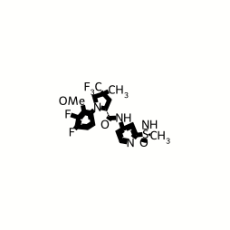 COc1c(N2C[C@@](C)(C(F)(F)F)C[C@@H]2C(=O)Nc2ccnc([S@](C)(=N)=O)c2)ccc(F)c1F